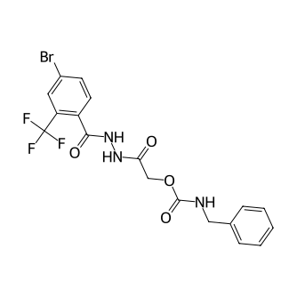 O=C(COC(=O)NCc1ccccc1)NNC(=O)c1ccc(Br)cc1C(F)(F)F